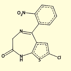 O=C1CN=C(c2ccccc2[N+](=O)[O-])c2cc(Cl)sc2N1